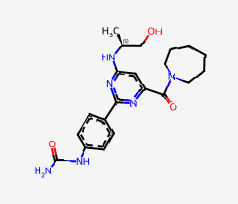 C[C@@H](CO)Nc1cc(C(=O)N2CCCCCC2)nc(-c2ccc(NC(N)=O)cc2)n1